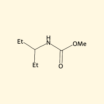 CCC(CC)NC(=O)OC